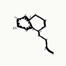 CCCCC1CCCc2ccccc21